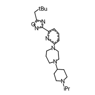 CC(C)N1CCC(N2CCCN(c3cccc(-c4noc(CC(C)(C)C)n4)n3)CC2)CC1